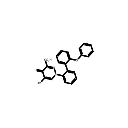 O=C(O)c1nn(-c2ccccc2-c2ccccc2Oc2ccccc2)cc(O)c1=O